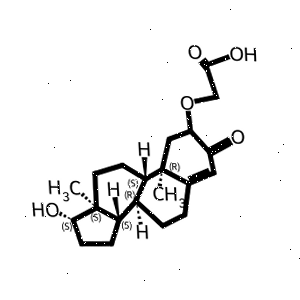 C[C@]12CC[C@H]3[C@@H](CCC4=CC(=O)C(OCC(=O)O)C[C@@]43C)[C@@H]1CC[C@@H]2O